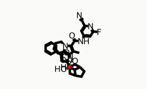 Cc1c(S(=O)(=O)NC2C3CCC2CC(O)(c2cc(-c4ccccc4)on2)C3)c2n(c1C(=O)Nc1cc(F)nc(C#N)c1)CCC=C2